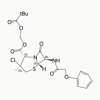 CC(C)(C)C(=O)OCOC(=O)[C@@H]1N2C(=O)[C@@H](NC(=O)COc3ccccc3)[C@@H]2SC[C@@]1(C)Cl